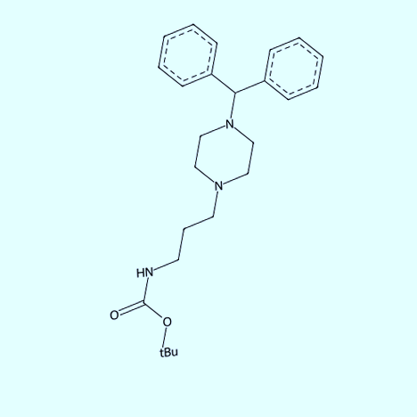 CC(C)(C)OC(=O)NCCCN1CCN(C(c2ccccc2)c2ccccc2)CC1